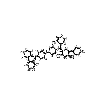 S=P12c3ccccc3Oc3cc(-c4ccc(-n5c6ccccc6c6ccccc65)cc4)cc(c31)Oc1cc3oc4ccccc4c3cc12